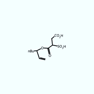 C=CC(CCCC)OC(=O)C(CC(=O)O)S(=O)(=O)O